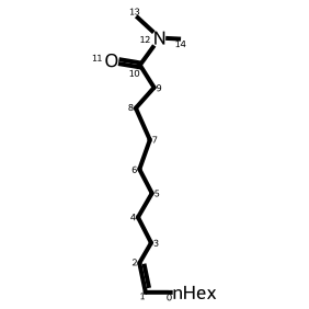 CCCCCC/C=C\CCCCCCCC(=O)N(C)C